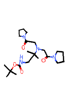 CC(C)(C)OC(=O)NCC(C)(C)N(CC(=O)N1CCCC1)CC(=O)N1CCCC1